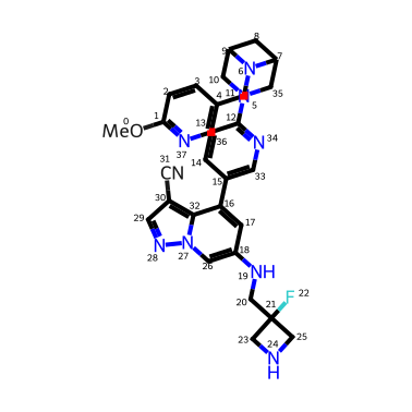 COc1ccc(CN2C3CC2CN(c2ccc(-c4cc(NCC5(F)CNC5)cn5ncc(C#N)c45)cn2)C3)cn1